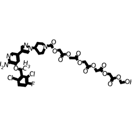 C[C@@H](Oc1cc(-c2cnn(C3CCN(C(=O)OCC(=O)OCC(=O)OCC(=O)OCC(=O)OCC(=O)OCO)CC3)c2)cnc1N)c1c(Cl)ccc(F)c1Cl